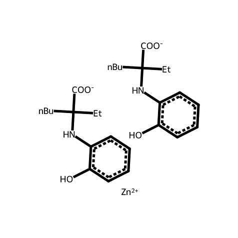 CCCCC(CC)(Nc1ccccc1O)C(=O)[O-].CCCCC(CC)(Nc1ccccc1O)C(=O)[O-].[Zn+2]